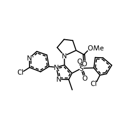 COC(=O)C1CCCN1c1c(S(=O)(=O)c2ccccc2Cl)c(C)nn1-c1ccnc(Cl)c1